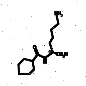 NCCCC[C@H](NC(=O)C1CCCCC1)C(=O)O